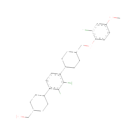 COc1ccc(OCC2CCC(c3ccc(C4CCC(CO)CC4)c(F)c3F)CC2)c(F)c1